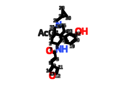 CC(=O)O[C@]12CC[C@@H](NC(=O)C=Cc3ccoc3)C[C@]1(c1cccc(O)c1)CCN(CC1CC1)C2